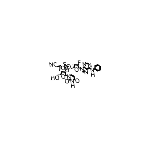 N#CCCOP(=S)(OC[C@H]1[CH][C@@H](F)[C@H](n2cnc3c(Nc4ccccc4)ncnc32)O1)O[C@@H]1[C@H](F)[C@@H](CO)O[C@H]1n1ccc(=O)[nH]c1=O